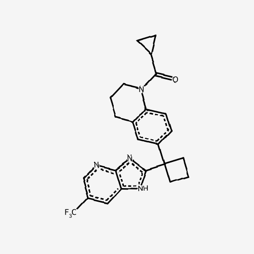 O=C(C1CC1)N1CCCc2cc(C3(c4nc5ncc(C(F)(F)F)cc5[nH]4)CCC3)ccc21